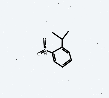 CC(C)c1ccccc1[SH](=O)=O